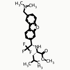 COC(=O)[C@H](CC(C)C)N[C@@H](c1ccc2c(c1)oc1ccc(CN(C)C)cc12)C(F)(F)F